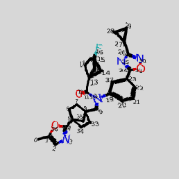 Cc1cnc(C23CCC(CN(C(=O)C45CC(F)(C4)C5)c4cccc(-c5nc(C6CC6)no5)c4)(CC2)C3)o1